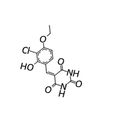 CCOc1ccc(C=C2C(=O)NC(=O)NC2=O)c(O)c1Cl